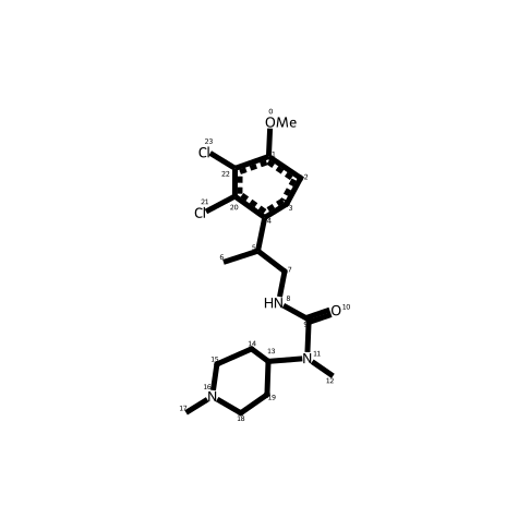 COc1ccc(C(C)CNC(=O)N(C)C2CCN(C)CC2)c(Cl)c1Cl